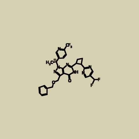 C[C@@H](c1ccc(C(F)(F)F)nc1)n1nc(COCc2ccccc2)c2c(=O)[nH]c(C3CCC3c3ncc(C(F)F)cn3)nc21